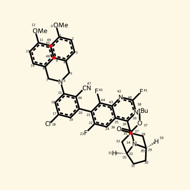 COc1ccc(CN(Cc2ccc(OC)cc2)c2cc(Cl)cc(-c3c(F)cc4c(N5C[C@H]6CC[C@@H](C5)N6C(=O)OC(C)(C)C)nc(F)nc4c3F)c2C#N)cc1